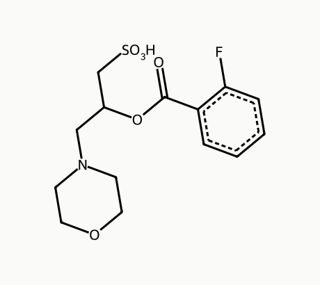 O=C(OC(CN1CCOCC1)CS(=O)(=O)O)c1ccccc1F